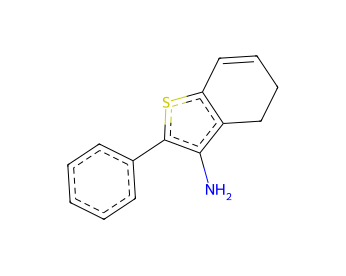 Nc1c(-c2ccccc2)sc2c1CCC=C2